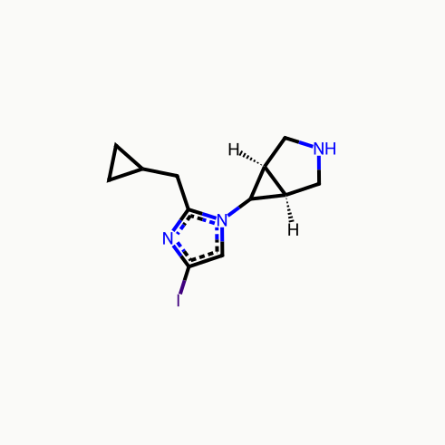 Ic1cn(C2[C@H]3CNC[C@@H]23)c(CC2CC2)n1